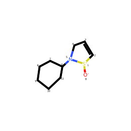 [O-][S+]1C=CCN1C1CCCCC1